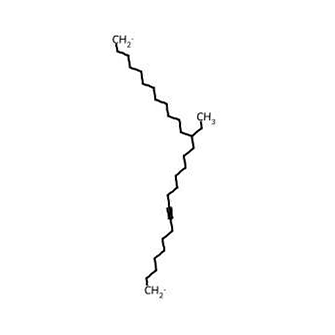 [CH2]CCCCCCC#CCCCCCCC(CC)CCCCCCCCCCC[CH2]